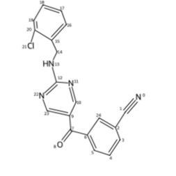 N#Cc1cccc(C(=O)c2cnc(NCc3ccccc3Cl)nc2)c1